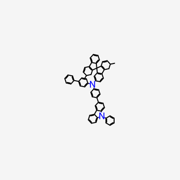 CC1C=CC2=C(C1)c1ccc(N(c3ccc(-c4ccccc4)cc3)c3ccc(-c4ccc5c(c4)c4ccccc4n5-c4ccccc4)cc3)cc1C21C2=C(C=CC(C)C2)c2ccccc21